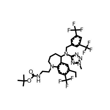 CCc1cc2c(cc1C(F)(F)F)N(CCNC(=O)OC(C)(C)C)CCCC2N(Cc1cc(C(F)(F)F)cc(C(F)(F)F)c1)c1nnn(C)n1